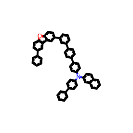 c1ccc(-c2ccc(N(c3ccc(-c4ccc(-c5cccc(-c6ccc7oc8ccc(-c9ccccc9)cc8c7c6)c5)cc4)cc3)c3ccc4ccccc4c3)cc2)cc1